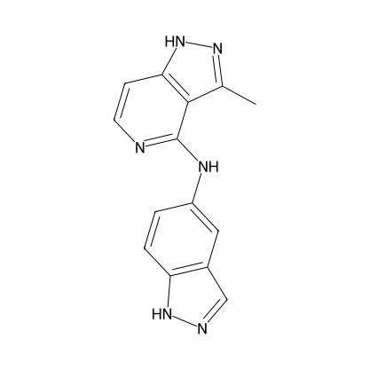 Cc1n[nH]c2ccnc(Nc3ccc4[nH]ncc4c3)c12